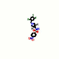 O=[N+]([O-])c1ccc(S(=O)(=O)N[C@H]2[C@@H]3CN(Cc4cc(F)c(F)cc4F)C[C@@H]32)cc1